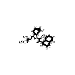 CC(C(=O)N1CC(CCC(=O)O)c2ccccc21)c1cccc2ccccc12